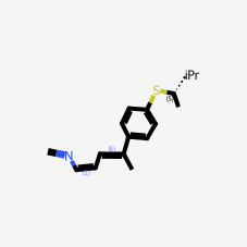 C=N/C=C\C=C(/C)c1ccc(S[C@@H](C)C(C)C)cc1